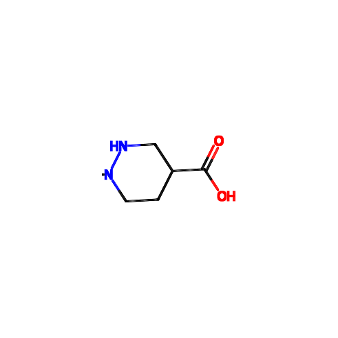 O=C(O)C1CC[N]NC1